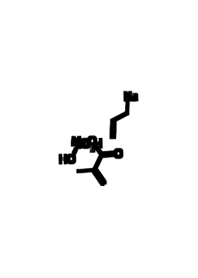 C=C(C)C(=O)OC.C=C[CH2][Na].O=S(=O)(O)O